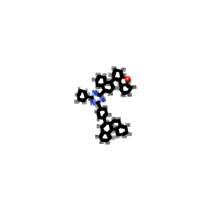 c1ccc(-c2nc(-c3ccc(-c4cc5ccccc5c5c4ccc4ccccc45)cc3)nc(-c3ccc(-c4cccc5oc6ccccc6c45)c4ccccc34)n2)cc1